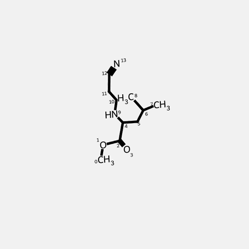 COC(=O)C(CC(C)C)NCCC#N